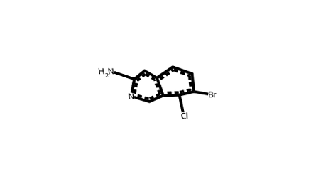 Nc1cc2ccc(Br)c(Cl)c2cn1